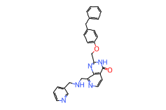 O=c1[nH]c(COc2ccc(Cc3ccccc3)cc2)nc2c(CNCc3cccnc3)nccc12